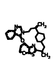 C=C(CC1CCC(C(=C)CCn2cnc3ccccc3c2=O)CC1)c1nc2ccccc2s1